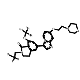 [2H]C([2H])([2H])Oc1cc(-c2cnc3cc(OCCN4CCOCC4)ccn23)cc2c1C(=O)N(CC(F)(F)F)CC2